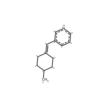 CC1CCC(=Cc2cccnc2)CC1